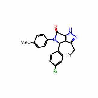 COc1ccc(N2C(=O)c3[nH]nc(CC(C)C)c3C2c2ccc(Br)cc2)cc1